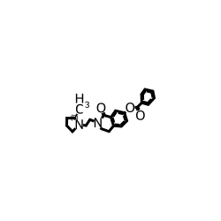 C[C@@H]1CCCN1CCN1CCc2ccc(OC(=O)c3ccccc3)cc2C1=O